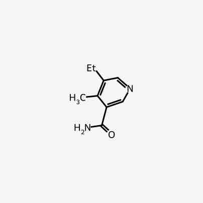 CCc1cncc(C(N)=O)c1C